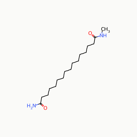 CNC(=O)CCCCCCCCCCCCCCC(N)=O